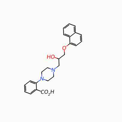 O=C(O)c1ccccc1N1CCN(CC(O)COc2cccc3ccccc23)CC1